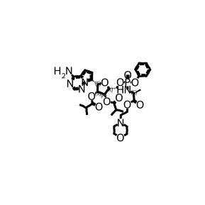 CC(C)C(=O)O[C@@H]1[C@H](OC(=O)C(C)C)[C@@H](COP(=O)(N[C@@H](C)C(=O)OCCN2CCOCC2)Oc2ccccc2)O[C@H]1c1ccc2c(N)ncnn12